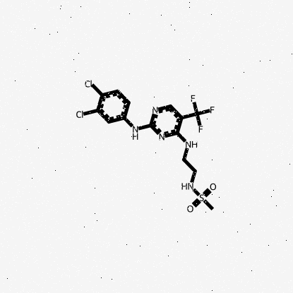 CS(=O)(=O)NCCNc1nc(Nc2ccc(Cl)c(Cl)c2)ncc1C(F)(F)F